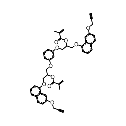 C#CCOc1ccc2cccc(OCC(COc3cccc(OCC(COc4cccc5ccc(OCC#C)cc45)OC(=O)C(=C)C)c3)OC(=O)C(=C)C)c2c1